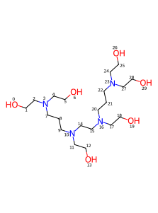 OCCN(CCO)CCCN(CCO)CCN(CCO)CCCN(CCO)CCO